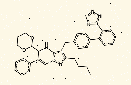 CCCCc1nc2c(n1Cc1ccc(-c3ccccc3-c3nnn[nH]3)cc1)NC(C1OCCCO1)C(c1ccccc1)=C2